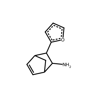 NC1C2C=CC(C2)C1c1ccco1